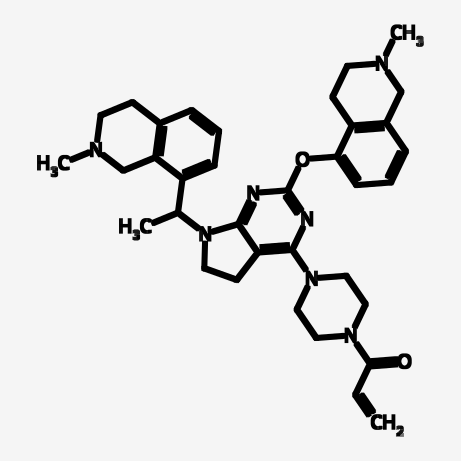 C=CC(=O)N1CCN(c2nc(Oc3cccc4c3CCN(C)C4)nc3c2CCN3C(C)c2cccc3c2CN(C)CC3)CC1